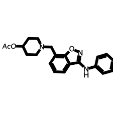 CC(=O)OC1CCN(Cc2cccc3c(Nc4ccccc4)noc23)CC1